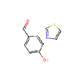 O=Cc1ccc(O)cc1.c1cscn1